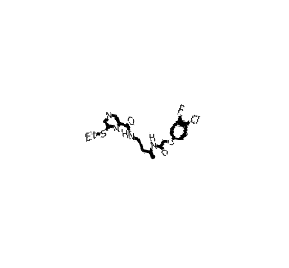 C=C(CCNC(=O)c1cncc(SCC)n1)NC(=O)COc1ccc(Cl)c(F)c1